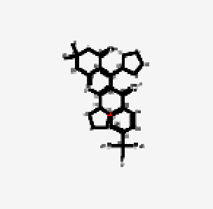 CC1(C)CC(=O)c2c(nc(C3CCCC3)c(C(=O)c3ccc(C(F)(F)F)cc3)c2C2CCCC2)C1